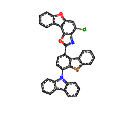 Clc1cc2oc3ccccc3c2c2oc(-c3ccc(-n4c5ccccc5c5ccccc54)c4sc5ccccc5c34)nc12